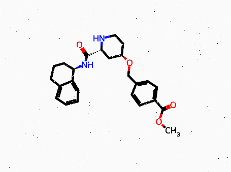 COC(=O)c1ccc(CO[C@@H]2CCN[C@@H](C(=O)N[C@@H]3CCCc4ccccc43)C2)cc1